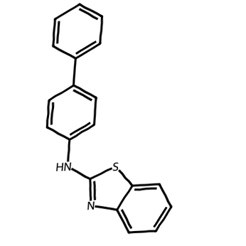 c1ccc(-c2ccc(Nc3nc4ccccc4s3)cc2)cc1